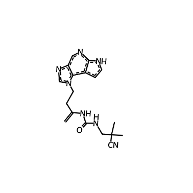 C=C(CCn1cnc2cnc3[nH]ccc3c21)NC(=O)NCC(C)(C)C#N